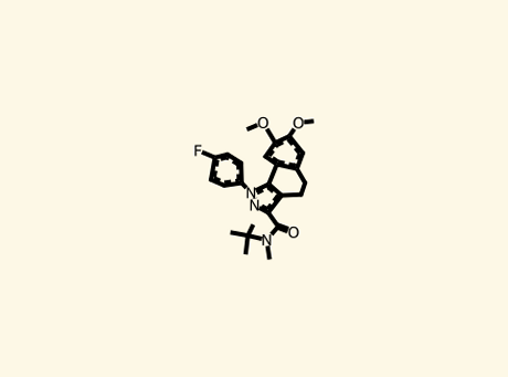 COc1cc2c(cc1OC)-c1c(c(C(=O)N(C)C(C)(C)C)nn1-c1ccc(F)cc1)CC2